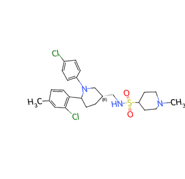 Cc1ccc(C2CC[C@@H](CNS(=O)(=O)C3CCN(C)CC3)CN2c2ccc(Cl)cc2)c(Cl)c1